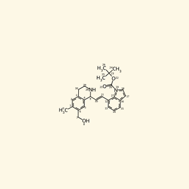 Cc1cc2c(cc1CO)C(/C=C/c1cccc3ccn(C(=O)OC(C)(C)C)c13)NCC2